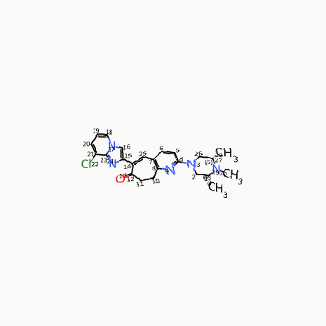 C[C@@H]1CN(c2ccc3c(n2)CCC(=O)C(c2cn4cccc(Cl)c4n2)=C3)C[C@H](C)N1C